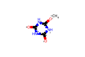 C.O=c1[nH]c(=O)[nH]c(=O)[nH]1